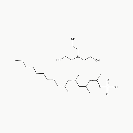 CCCCCCCCCC(C)CC(C)CC(C)CC(C)OS(=O)(=O)O.OCCN(CCO)CCO